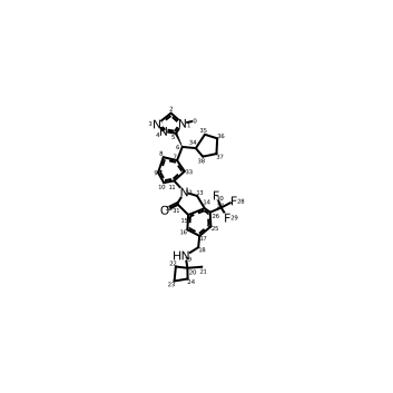 Cn1cnnc1[C@H](c1cccc(N2Cc3c(cc(CNC4(C)CCC4)cc3C(F)(F)F)C2=O)c1)C1CCCC1